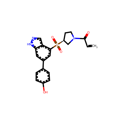 C=CC(=O)N1CC[C@H](S(=O)(=O)c2cc(-c3ccc(O)cc3)cc3[nH]ncc23)C1